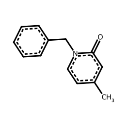 Cc1ccn(Cc2ccccc2)c(=O)c1